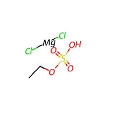 CCOS(=O)(=O)O.[Cl][Mg][Cl]